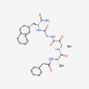 CC[C@H](C)C(NC(=O)[C@@H](NC(=O)Cc1ccccc1)C(C)(C)C)C(=O)C(=O)NCC(=O)N[C@@H](Cc1ccc2ccccc2c1)C(N)=O